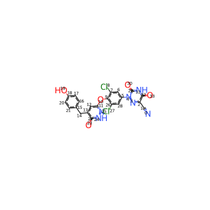 N#Cc1nn(-c2cc(Cl)c(Oc3cc(Cc4ccc(O)cc4)c(=O)[nH]n3)c(Cl)c2)c(=O)[nH]c1=O